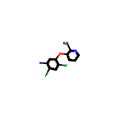 O=[N+]([O-])c1ncccc1Oc1cc(I)c(F)cc1Cl